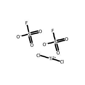 O=S(=O)([O-])F.O=S(=O)([O-])F.[Cl][Ti+2][Cl]